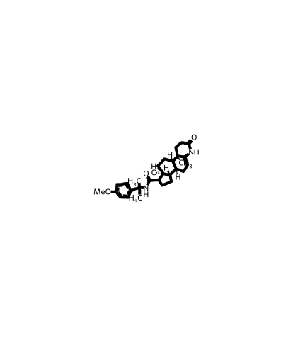 COc1ccc(C(C)(C)NC(=O)C2CC[C@H]3[C@@H]4CC=C5NC(=O)CC[C@]5(C)[C@@H]4CC[C@]23C)cc1